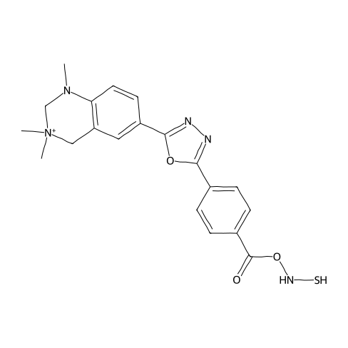 CN1C[N+](C)(C)Cc2cc(-c3nnc(-c4ccc(C(=O)ONS)cc4)o3)ccc21